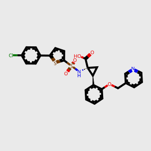 O=C(O)[C@@]1(NS(=O)(=O)c2ccc(-c3ccc(Cl)cc3)s2)C[C@H]1c1ccccc1OCc1cccnc1